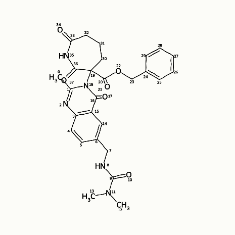 Cc1nc2ccc(CNC(=O)N(C)C)cc2c(=O)n1C1(C(=O)OCc2ccccc2)CCCC(=O)NC1=O